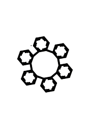 [c]1cccc2c1-c1ccccc1-c1ccccc1-c1ccccc1-c1ccccc1-c1ccccc1-2